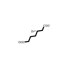 O=C([O-])CCCCCC(=O)[O-].[Zn+2]